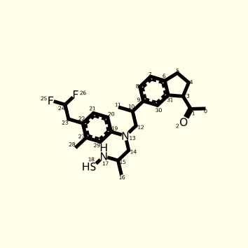 CC(=O)C1CCc2ccc(C(C)CN(CC(C)NS)c3ccc(CC(F)F)c(C)c3)cc21